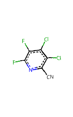 N#Cc1nc(F)c(F)c(Cl)c1Cl